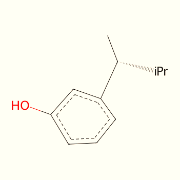 CC(C)[C@@H](C)c1cccc(O)c1